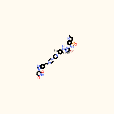 CCc1cc(Nc2ncc(Br)c(Nc3ccc4nc(C)ccc4c3P(C)(C)=O)n2)c(OC)cc1N1CCC(N2CCN(CCc3ccc4c(c3)ncn4C3CCC(=O)NC3=O)CC2)CC1